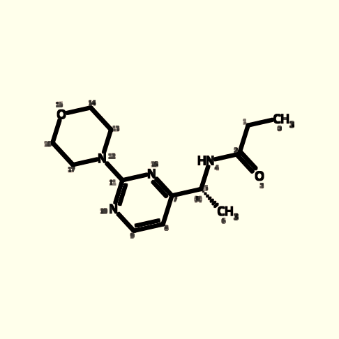 CCC(=O)N[C@H](C)c1ccnc(N2CCOCC2)n1